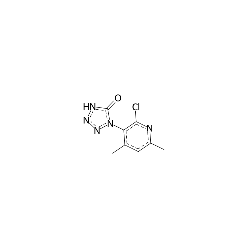 Cc1cc(C)c(-n2nn[nH]c2=O)c(Cl)n1